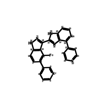 Fc1c(-c2cccnc2)ccc2[nH]nc(-c3nc4c(-c5ccncc5)nccc4[nH]3)c12